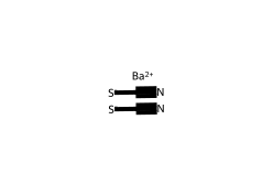 N#C[S-].N#C[S-].[Ba+2]